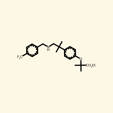 CCOC(=O)C(C)(C)Oc1ccc(C(C)(C)CNCc2ccc(C(F)(F)F)cc2)cc1